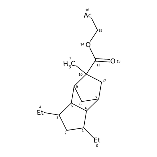 CCC1CC(CC)C2C1C1CC2C(C)(C(=O)OCC(C)=O)C1